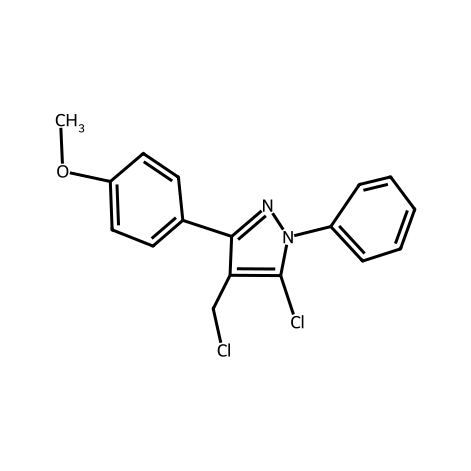 COc1ccc(-c2nn(-c3ccccc3)c(Cl)c2CCl)cc1